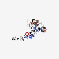 COCCNC(=O)Nc1ccc(-c2nc(N3CCOCC3)cc(C(C)(C)S(C)(=O)=O)n2)cc1